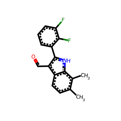 Cc1ccc2c(C=O)c(-c3cccc(F)c3F)[nH]c2c1C